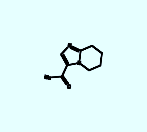 CCC(C)C(=O)c1cnc2n1CCCC2